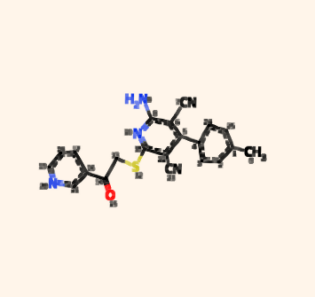 Cc1ccc(-c2c(C#N)c(N)nc(SCC(=O)c3cccnc3)c2C#N)cc1